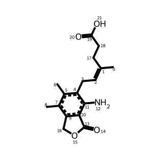 CC(=CCc1c(C)c(C)c2c(c1N)C(=O)OC2)CCC(=O)O